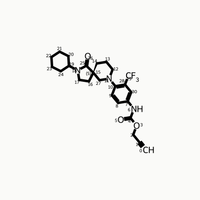 C#CCOC(=O)Nc1ccc(N2CCC[C@]3(CCN(C4CCCCC4)C3=O)C2)c(C(F)(F)F)c1